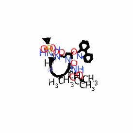 C[C@@H]1CC/C=C\[C@@H]2C[C@@]2(C(=O)NS(=O)(=O)C2CC2)NC(=O)C2C[C@@H](Oc3nc4ccccc4c4ccccc34)CN2C(=O)[C@@H](NC(=O)OC(C)(C)C)[C@H](C)C1